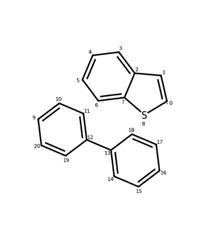 [c]1cc2ccccc2s1.c1ccc(-c2ccccc2)cc1